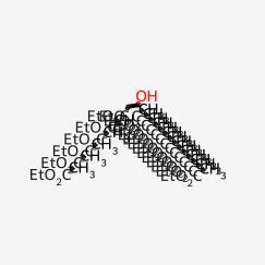 CCOC(=O)CCO.CCOC(C)=O.CCOC(C)=O.CCOC(C)=O.CCOC(C)=O.CCOC(C)=O.CCOC(C)=O.CCOC(C)=O.CCOC(C)=O.CCOC(C)=O.CCOC(C)=O.CCOC(C)=O.CCOC(C)=O.CCOC(C)=O.CCOC(C)=O.CCOC(C)=O.CCOC(C)=O.CCOC(C)=O.CCOC(C)=O.CCOC(C)=O